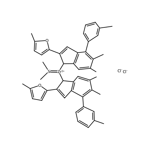 Cc1cccc(-c2c(C)c(C)cc3c2C=C(c2ccc(C)o2)[CH]3[Zr+2]([CH]2C(c3ccc(C)o3)=Cc3c2cc(C)c(C)c3-c2cccc(C)c2)=[Si](C)C)c1.[Cl-].[Cl-]